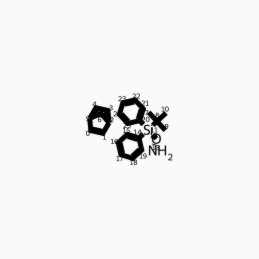 C1=CC2=CC=C1C2.CC(C)(C)[Si](ON)(c1ccccc1)c1ccccc1